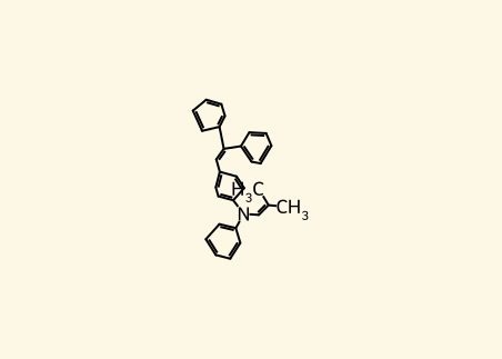 CC(C)=CN(c1ccccc1)c1ccc(C=C(c2ccccc2)c2ccccc2)cc1